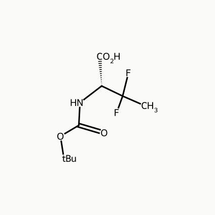 CC(C)(C)OC(=O)N[C@H](C(=O)O)C(C)(F)F